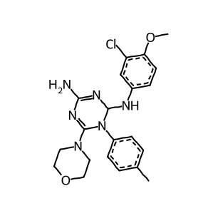 COc1ccc(NC2N=C(N)N=C(N3CCOCC3)N2c2ccc(C)cc2)cc1Cl